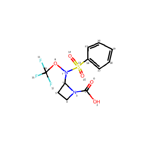 O=C(O)N1CCC1N(OC(F)(F)F)S(=O)(=O)c1ccccc1